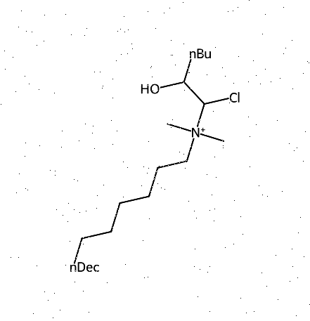 CCCCCCCCCCCCCCCC[N+](C)(C)C(Cl)C(O)CCCC